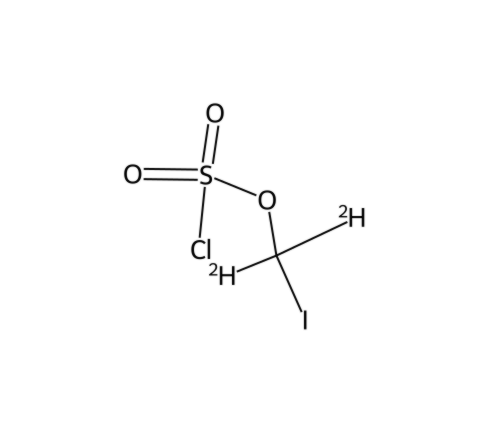 [2H]C([2H])(I)OS(=O)(=O)Cl